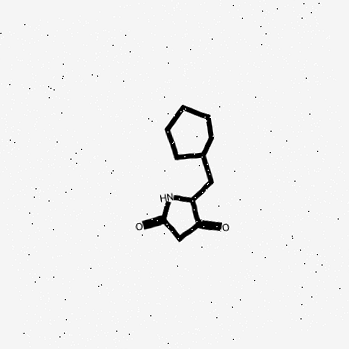 O=C1CC(=O)C(CC2CCCCC2)N1